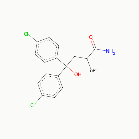 CCCC(CC(O)(c1ccc(Cl)cc1)c1ccc(Cl)cc1)C(N)=O